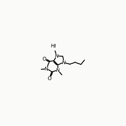 CCCCN1CN(C)c2c1n(C)c(=O)n(C)c2=O.I